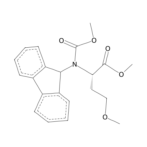 COCC[C@@H](C(=O)OC)N(C(=O)OC)C1c2ccccc2-c2ccccc21